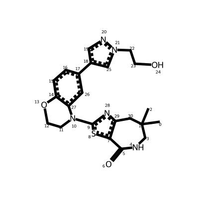 CC1(C)CNC(=O)c2sc(N3CCOc4ccc(-c5cnn(CCO)c5)cc43)nc2C1